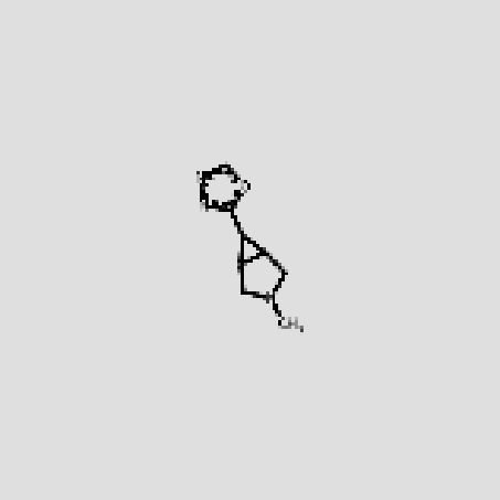 CN1CC2C(C1)C2c1nnco1